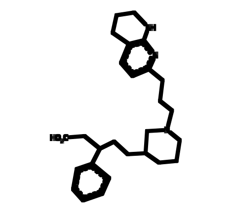 O=C(O)CC(CCC1CCCN(CCCc2ccc3c(n2)NCCC3)C1)c1ccccc1